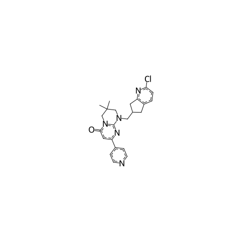 CC1(C)CN(CC2Cc3ccc(Cl)nc3C2)c2nc(-c3ccncc3)cc(=O)n2C1